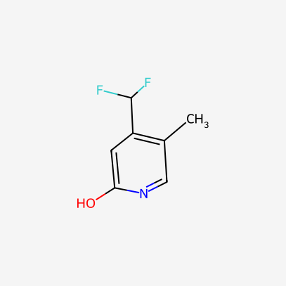 Cc1cnc(O)cc1C(F)F